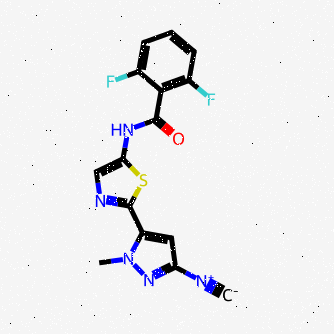 [C-]#[N+]c1cc(-c2ncc(NC(=O)c3c(F)cccc3F)s2)n(C)n1